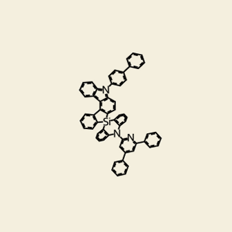 c1ccc(-c2ccc(-n3c4ccccc4c4c5c(ccc43)[Si]3(c4ccccc4-5)c4ccccc4N(c4cc(-c5ccccc5)cc(-c5ccccc5)n4)c4ccccc43)cc2)cc1